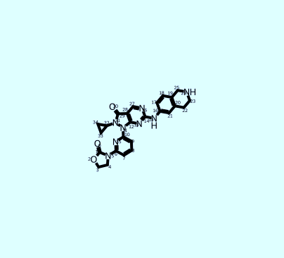 O=C1OCCN1c1cccc(-n2c3nc(Nc4ccc5c(c4)CCNC5)ncc3c(=O)n2C2CC2)n1